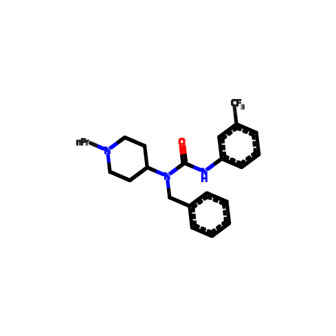 CCCN1CCC(N(Cc2ccccc2)C(=O)Nc2cccc(C(F)(F)F)c2)CC1